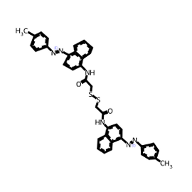 Cc1ccc(/N=N/c2ccc(NC(=O)CSSCC(=O)Nc3ccc(/N=N/c4ccc(C)cc4)c4ccccc34)c3ccccc23)cc1